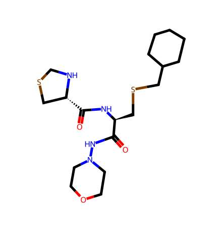 O=C(N[C@@H](CSCC1CCCCC1)C(=O)NN1CCOCC1)[C@@H]1CSCN1